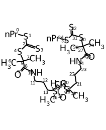 CCCSC(=S)SC(C)(C)C(=O)NCCC[Si](C)(C)O[Si](C)(C)CCCNC(=O)C(C)(C)SC(=S)SCCC